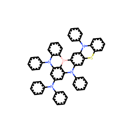 c1ccc(N(c2ccccc2)c2cc3c4c(c2)N(c2ccccc2)c2cc5c(cc2B4c2ccccc2N3c2ccccc2)N(c2ccccc2)c2ccccc2S5)cc1